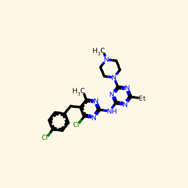 CCc1nc(Nc2nc(C)c(Cc3ccc(Cl)cc3)c(Cl)n2)nc(N2CCN(C)CC2)n1